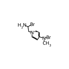 CN(Br)c1cc[n+](CC(N)Br)cc1